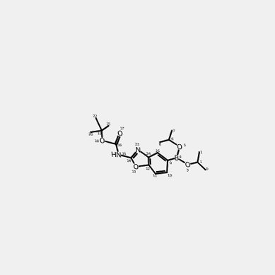 CC(C)OB(OC(C)C)c1ccc2oc(NC(=O)OC(C)(C)C)nc2c1